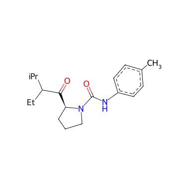 CCC(C(=O)[C@@H]1CCCN1C(=O)Nc1ccc(C)cc1)C(C)C